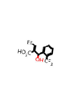 CCC=C(C(=O)O)C(O)c1ccccc1C(F)(F)F